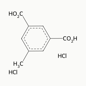 Cc1cc(C(=O)O)cc(C(=O)O)c1.Cl.Cl